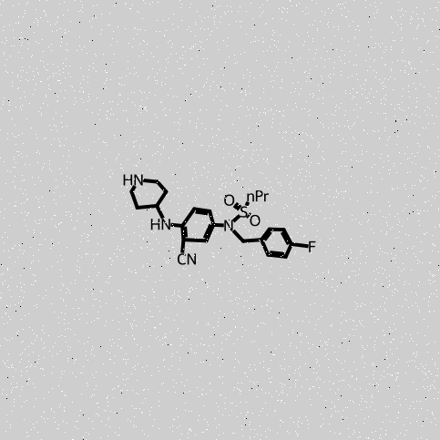 CCCS(=O)(=O)N(Cc1ccc(F)cc1)c1ccc(NC2CCNCC2)c(C#N)c1